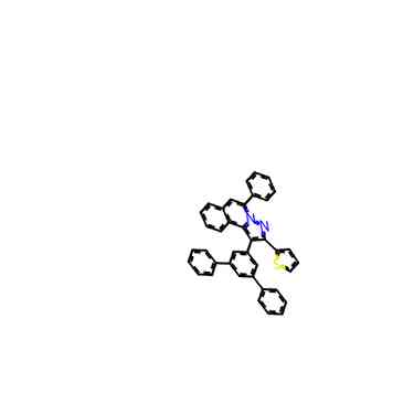 c1ccc(-c2cc(-c3ccccc3)cc(-c3c(-c4cccs4)nn4c(-c5ccccc5)cc5ccccc5c34)c2)cc1